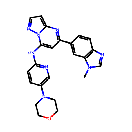 Cn1cnc2ccc(-c3cc(Nc4ccc(N5CCOCC5)cn4)n4nccc4n3)cc21